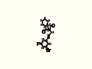 O=C1c2ccccc2C(=O)N1CC#Cc1cc(F)cc(Br)c1